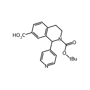 CC(C)(C)OC(=O)N1CCc2ccc(C(=O)O)cc2C1c1ccncc1